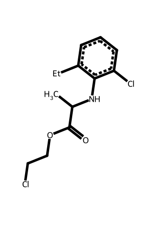 CCc1cccc(Cl)c1NC(C)C(=O)OCCCl